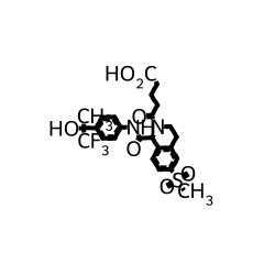 CC(O)(c1ccc(NC(=O)C2c3ccc(S(C)(=O)=O)cc3CCN2C(=O)CCCC(=O)O)cc1)C(F)(F)F